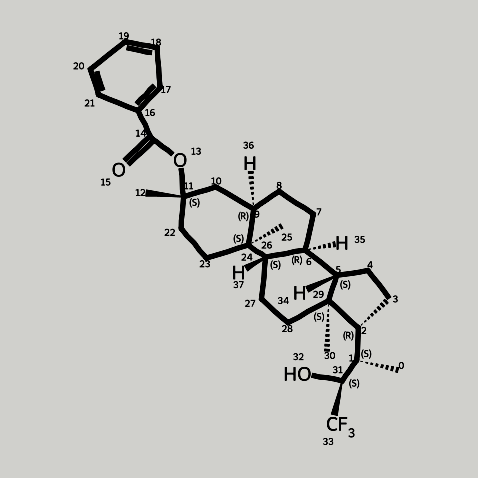 C[C@@H]([C@H]1CC[C@H]2[C@@H]3CC[C@@H]4C[C@@](C)(OC(=O)c5ccccc5)CC[C@]4(C)[C@H]3CC[C@]12C)[C@H](O)C(F)(F)F